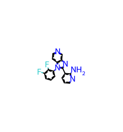 Nc1ncccc1-c1nc2cnccc2n1-c1cccc(F)c1F